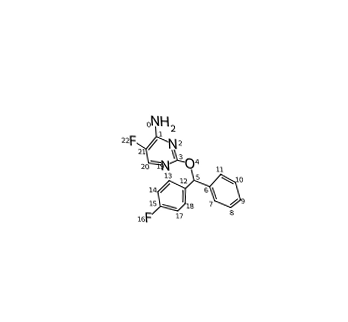 Nc1nc(OC(c2ccccc2)c2ccc(F)cc2)ncc1F